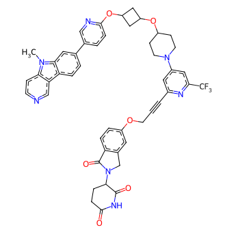 Cn1c2ccncc2c2ccc(-c3ccc(OC4CC(OC5CCN(c6cc(C#CCOc7ccc8c(c7)CN(C7CCC(=O)NC7=O)C8=O)nc(C(F)(F)F)c6)CC5)C4)nc3)cc21